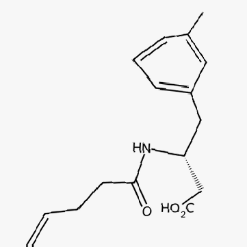 C=CCCC(=O)N[C@@H](CC(=O)O)Cc1cccc(C)c1